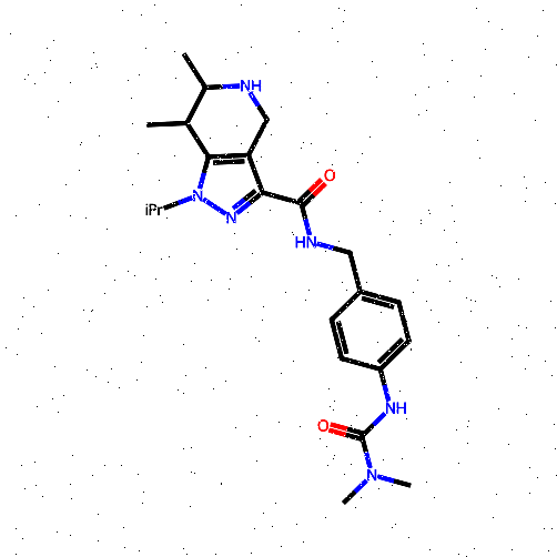 CC1NCc2c(C(=O)NCc3ccc(NC(=O)N(C)C)cc3)nn(C(C)C)c2C1C